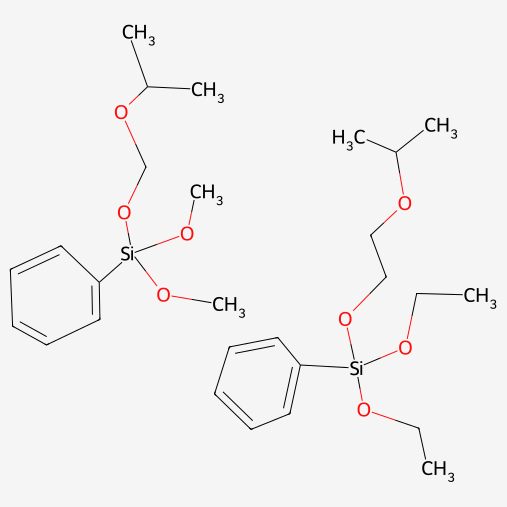 CCO[Si](OCC)(OCCOC(C)C)c1ccccc1.CO[Si](OC)(OCOC(C)C)c1ccccc1